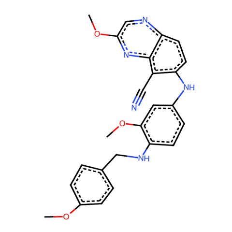 COc1ccc(CNc2ccc(Nc3ccc4ncc(OC)nc4c3C#N)cc2OC)cc1